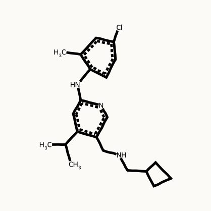 Cc1cc(Cl)ccc1Nc1cc(C(C)C)c(CNCC2CCC2)cn1